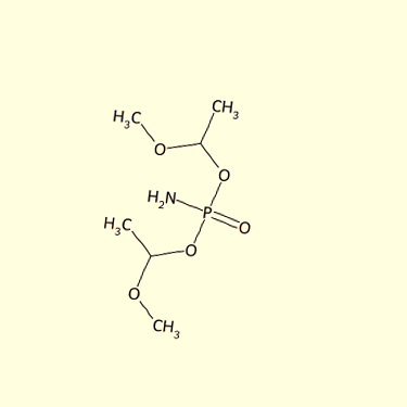 COC(C)OP(N)(=O)OC(C)OC